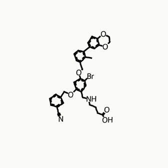 Cc1c(COc2cc(OCc3cccc(C#N)c3)c(CNCCCC(=O)O)cc2Br)cccc1-c1ccc2c(c1)OCCO2